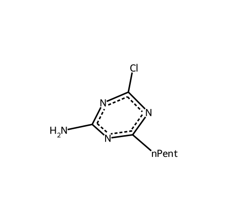 CCCCCc1nc(N)nc(Cl)n1